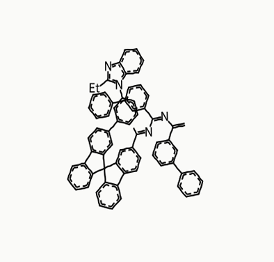 C=C(/N=C(\N=C(/C)c1ccc2c(c1)C1(c3ccccc3-2)c2ccccc2-c2ccc(-c3cccc(-n4c(CC)nc5ccccc54)c3)cc21)c1cccc(-c2ccccc2)c1)c1cccc(-c2ccccc2)c1